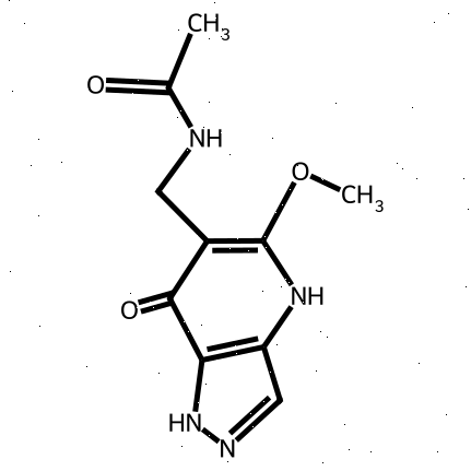 COc1[nH]c2cn[nH]c2c(=O)c1CNC(C)=O